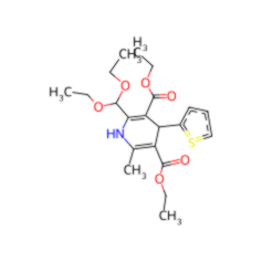 CCOC(=O)C1=C(C)NC(C(OCC)OCC)=C(C(=O)OCC)C1c1cccs1